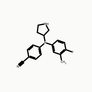 Cc1cc(N(c2ccc(C#N)cc2)C2CCNC2)ccc1F